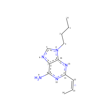 [CH2]CCCn1cnc2c(N)nc(/C=C\C)nc21